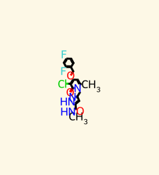 CNC(=O)c1cc(Cn2c(C)cc(OCc3ccc(F)cc3F)c(Cl)c2=O)n[nH]1